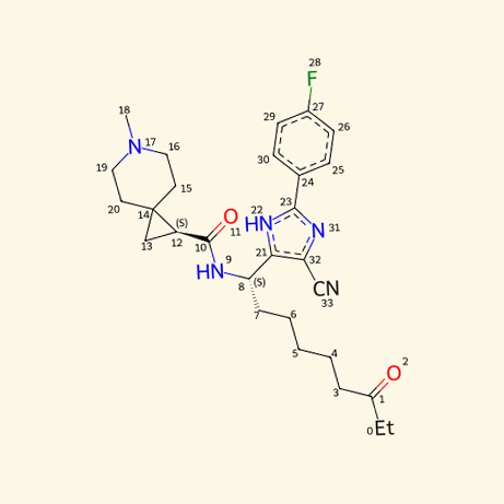 CCC(=O)CCCCC[C@H](NC(=O)[C@H]1CC12CCN(C)CC2)c1[nH]c(-c2ccc(F)cc2)nc1C#N